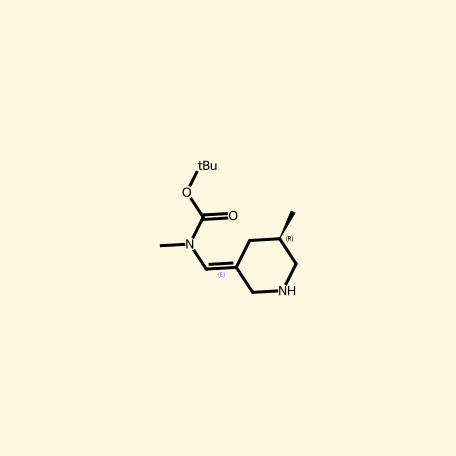 C[C@H]1CNC/C(=C/N(C)C(=O)OC(C)(C)C)C1